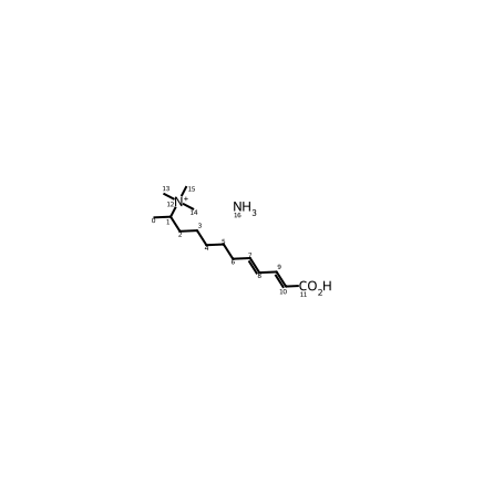 CC(CCCCCC=CC=CC(=O)O)[N+](C)(C)C.N